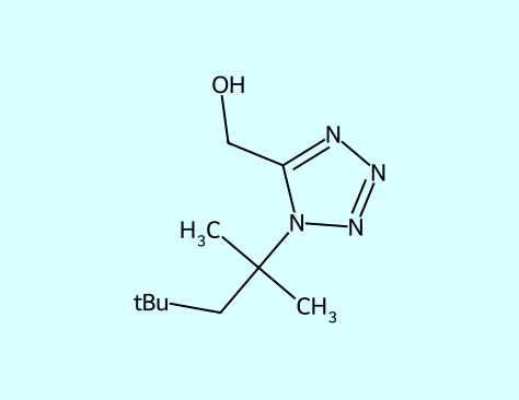 CC(C)(C)CC(C)(C)n1nnnc1CO